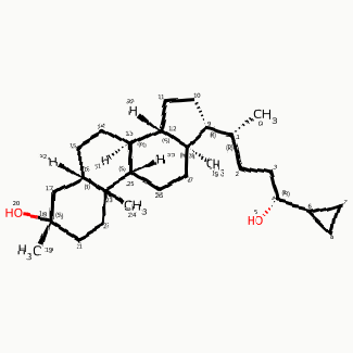 C[C@H](CC[C@@H](O)C1CC1)[C@H]1CC[C@H]2[C@@H]3CC[C@H]4C[C@@](C)(O)CCC4(C)[C@H]3CC[C@]12C